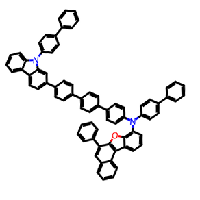 c1ccc(-c2ccc(N(c3ccc(-c4ccc(-c5ccc(-c6ccc7c8ccccc8n(-c8ccc(-c9ccccc9)cc8)c7c6)cc5)cc4)cc3)c3cccc4c3oc3c(-c5ccccc5)cc5ccccc5c34)cc2)cc1